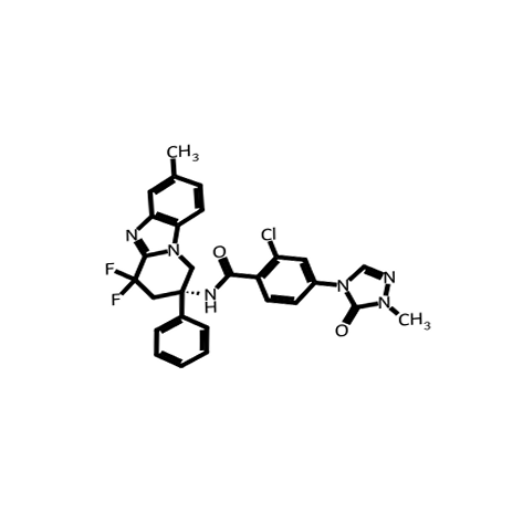 Cc1ccc2c(c1)nc1n2C[C@@](NC(=O)c2ccc(-n3cnn(C)c3=O)cc2Cl)(c2ccccc2)CC1(F)F